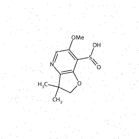 COc1cnc2c(c1S(=O)O)OCC2(C)C